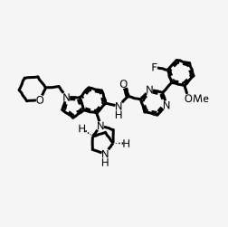 COc1cccc(F)c1-c1nccc(C(=O)Nc2ccc3c(ccn3CC3CCCCO3)c2N2C[C@@H]3C[C@H]2CN3)n1